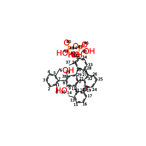 Cc1cccc(C)c1-c1c(O)c(-c2c(C)cccc2C)c(-c2c(C)cccc2C)c(-c2c(C)cccc2C)c1O.O=P(O)(O)OP(=O)(O)O